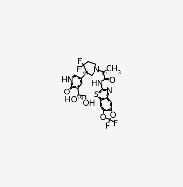 C[C@@H](C(=O)Nc1nc2cc3c(cc2s1)OC(F)(F)O3)N1CCC(F)(F)[C@H](c2c[nH]c(=O)c([C@H](O)CO)c2)C1